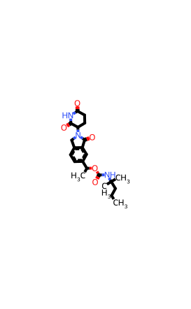 CCCC(C)(C)NC(=O)OC(C)c1ccc2c(c1)C(=O)N(C1CCC(=O)NC1=O)C2